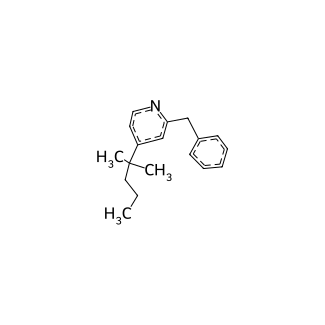 CCCC(C)(C)c1ccnc(Cc2ccccc2)c1